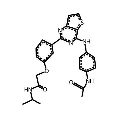 CC(=O)Nc1ccc(Nc2nc(-c3cccc(OCC(=O)NC(C)C)c3)nc3ccsc23)cc1